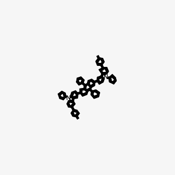 Cc1ccc(-c2ccc3c(c2)c2cc(-c4ccc5c(-c6ccccc6)c6cc(-c7ccc8c(c7)c7cc(-c9ccc(C)cc9)ccc7n8-c7ccccc7)ccc6c(-c6ccccc6)c5c4)ccc2n3-c2ccccc2)cc1